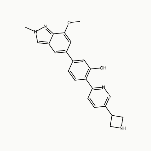 COc1cc(-c2ccc(-c3ccc(C4CNC4)nn3)c(O)c2)cc2cn(C)nc12